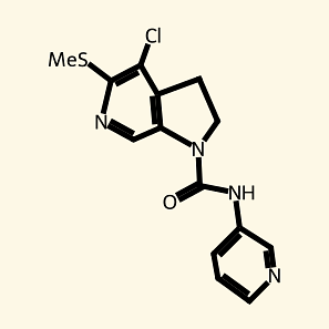 CSc1ncc2c(c1Cl)CCN2C(=O)Nc1cccnc1